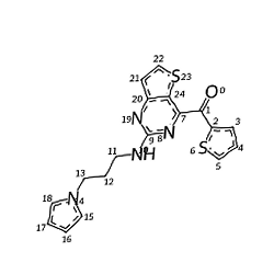 O=C(c1cccs1)c1nc(NCCCn2cccc2)nc2ccsc12